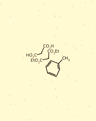 CCOC(=O)CC(=O)OCC.Cc1ccccc1.O=C(O)CC(=O)O